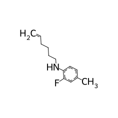 C=CCCCCNc1ccc(C)cc1F